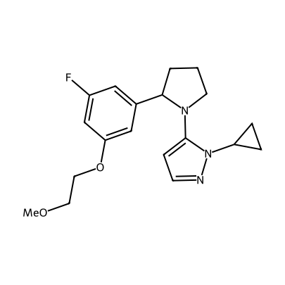 COCCOc1cc(F)cc(C2CCCN2c2ccnn2C2CC2)c1